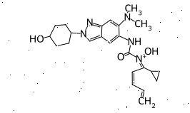 C=C/C=C\C(C1CC1)=[N+](\O)C(=O)Nc1cc2cn(C3CCC(O)CC3)nc2cc1N(C)C